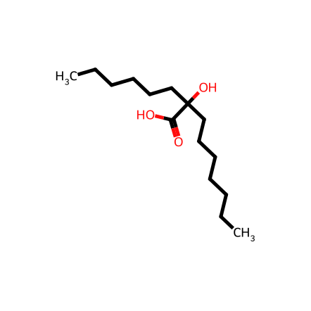 CCCCCCCC(O)(CCCCCC)C(=O)O